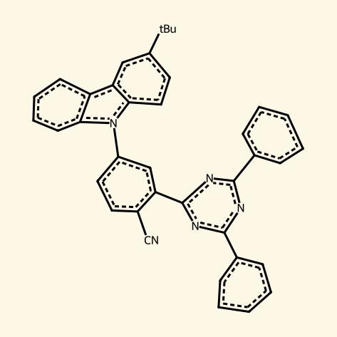 CC(C)(C)c1ccc2c(c1)c1ccccc1n2-c1ccc(C#N)c(-c2nc(-c3ccccc3)nc(-c3ccccc3)n2)c1